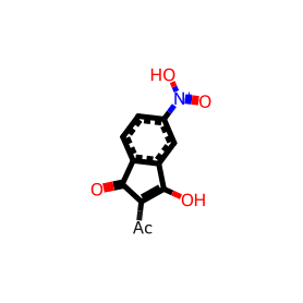 CC(=O)C1=C(O)c2cc([N+](=O)O)ccc2C1=O